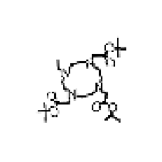 CCN1CCN(CC(=O)OC(C)(C)C)CCN(CC(=O)OC(C)C)CCN(CC(=O)OC(C)(C)C)CC1